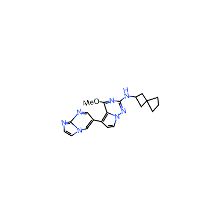 COc1nc(NC2CC3(CCC3)C2)nn2ccc(-c3cnc4nccn4c3)c12